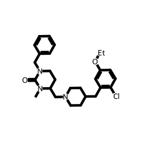 CCOc1ccc(Cl)c(CC2CCN(CC3CCN(Cc4ccccc4)C(=O)N3C)CC2)c1